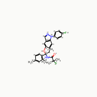 CC[C@](NC(=O)C(C)(C)F)(Oc1ccc2c(cnn2-c2ccc(F)cc2)c1)c1ccc(C)cc1C